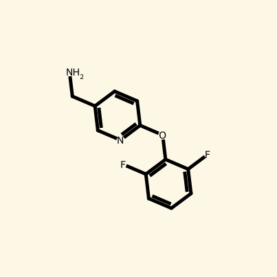 NCc1ccc(Oc2c(F)cccc2F)nc1